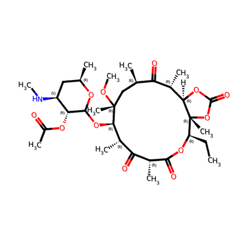 CC[C@H]1OC(=O)[C@H](C)C(=O)[C@H](C)[C@@H](OC2O[C@H](C)C[C@H](NC)[C@H]2OC(C)=O)[C@](C)(OC)C[C@@H](C)C(=O)[C@H](C)[C@H]2OC(=O)O[C@@]21C